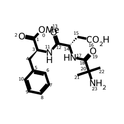 COC(=O)[C@H](Cc1ccccc1)NC(=O)[C@H](CC(=O)O)NC(=O)C(C)(C)N